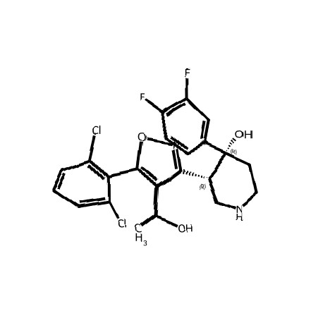 CC(O)c1c([C@H]2CNCC[C@]2(O)c2ccc(F)c(F)c2)noc1-c1c(Cl)cccc1Cl